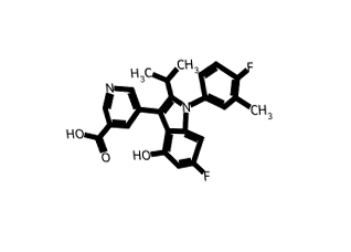 Cc1cc(-n2c(C(C)C)c(-c3cncc(C(=O)O)c3)c3c(O)cc(F)cc32)ccc1F